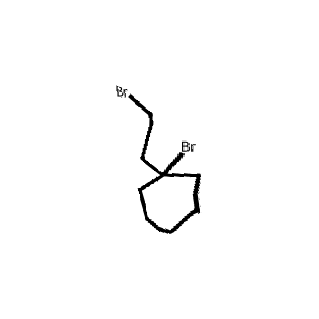 BrCCC1(Br)CCCCC1